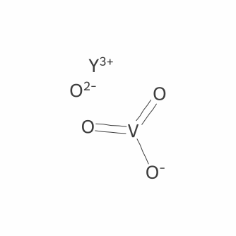 [O-2].[O]=[V](=[O])[O-].[Y+3]